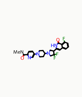 CNC(=O)c1ccc(N2CCC(N3CC(c4cc5cccc(F)c5c(=O)[nH]4)C(F)(F)C3)CC2)cn1